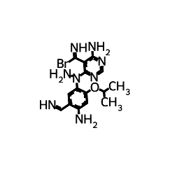 CC(C)Oc1cc(N)c(C=N)cc1N(N)c1ncnc(N)c1C(=N)Br